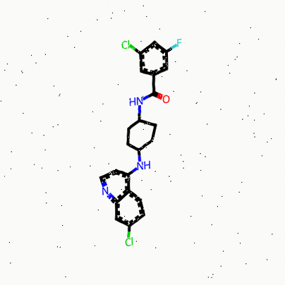 O=C(NC1CCC(Nc2ccnc3cc(Cl)ccc23)CC1)c1cc(F)cc(Cl)c1